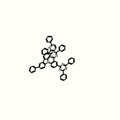 c1ccc(-c2ccc3c(c2)c2ccc(-c4cccc(-c5ccccc5)n4)cc2n3-c2ccc(-c3nc(-c4ccccc4)nc(-c4ccccc4)n3)cc2-c2nc(-c3ccccc3)nc(-c3ccccc3)n2)cc1